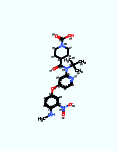 CNc1ccc(Oc2ccnc(N(C(=O)C3CCN(C(=O)O)CC3)C(C)(C)C)c2)cc1[N+](=O)[O-]